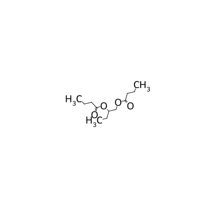 CCCC(=O)OCC(CC)OC(=O)CCC